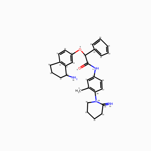 Cc1cc(NC(=O)C(Oc2ccc3c(c2)C(N)CCC3)c2ccccc2)ccc1N1CCCCC1=N